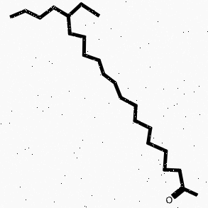 CCCCC(CC)CCCCCCCCCCCCCCC(C)=O